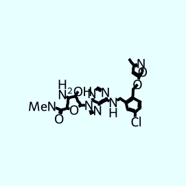 CNC(=O)C1OC(n2cnc3c(NCc4cc(Cl)ccc4COc4cc(C)no4)ncnc32)C(O)C1N